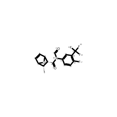 C[C@@H]1C2C=CC(O2)[C@@H]1C(=O)N(C=O)c1ccc(F)c(C(F)(F)F)c1